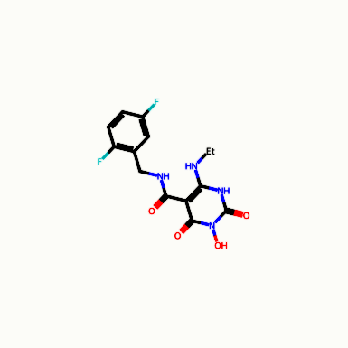 CCNc1[nH]c(=O)n(O)c(=O)c1C(=O)NCc1cc(F)ccc1F